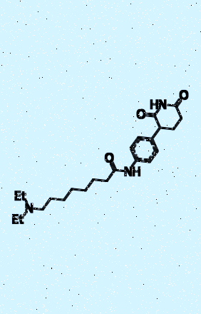 CCN(CC)CCCCCCCC(=O)Nc1ccc(C2CCC(=O)NC2=O)cc1